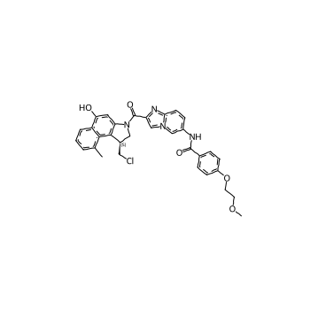 COCCOc1ccc(C(=O)Nc2ccc3nc(C(=O)N4C[C@@H](CCl)c5c4cc(O)c4cccc(C)c54)cn3c2)cc1